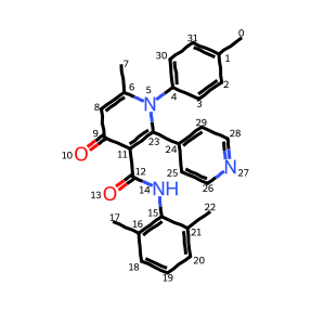 Cc1ccc(-n2c(C)cc(=O)c(C(=O)Nc3c(C)cccc3C)c2-c2ccncc2)cc1